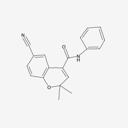 CC1(C)C=C(C(=O)Nc2ccccc2)c2cc(C#N)ccc2O1